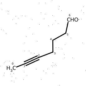 CC#CCCC[C]=O